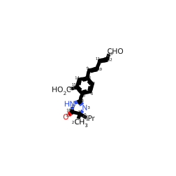 CC(C)C1(C)N=C(c2ccc(C=CC=CC=O)cc2C(=O)O)NC1=O